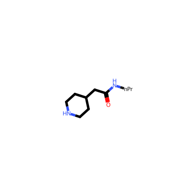 CCCNC(=O)CC1CCNCC1